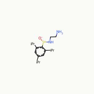 CC(C)c1cc(C(C)C)c([S+]([O-])NCCN)c(C(C)C)c1